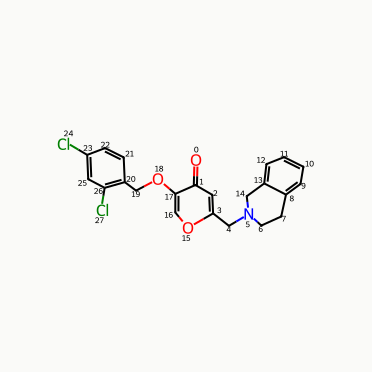 O=c1cc(CN2CCc3ccccc3C2)occ1OCc1ccc(Cl)cc1Cl